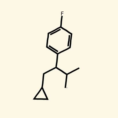 [CH2]C(C)C(CC1CC1)c1ccc(F)cc1